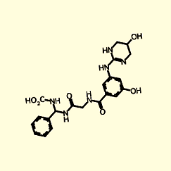 O=C(O)NC(NC(=O)CNC(=O)c1cc(O)cc(NC2=NCC(O)CN2)c1)c1ccccc1